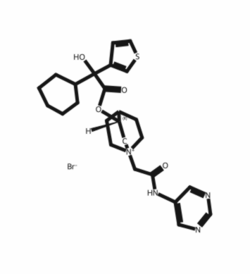 O=C(C[N+]12CCC(CC1)[C@@H](OC(=O)C(O)(c1ccsc1)C1CCCCC1)C2)Nc1cncnc1.[Br-]